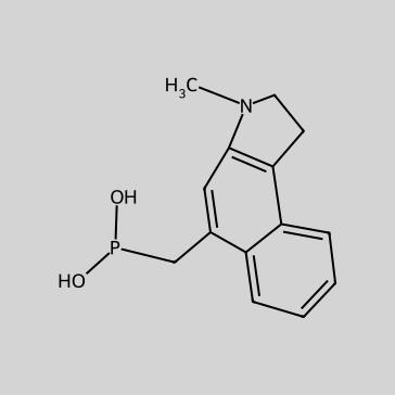 CN1CCc2c1cc(CP(O)O)c1ccccc21